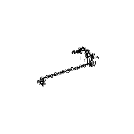 CCCN(CCCNC(=N)NCCOCCOCCOCCOCCOCCOCCOCCOCCOCCOCCC(=O)Oc1c(F)c(F)cc(F)c1F)C(=O)C1=Cc2ccc(-c3cccc(S(=O)(=O)N4CC(CN(C)C)C4)c3)cc2N=C(N)C1